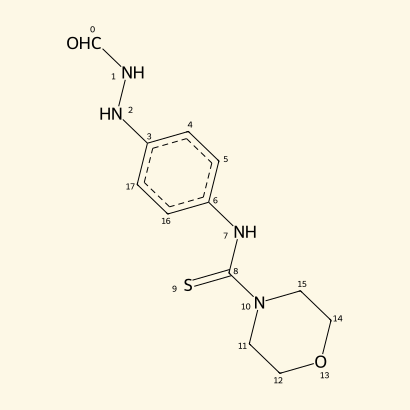 O=CNNc1ccc(NC(=S)N2CCOCC2)cc1